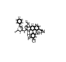 CCCC(CC(=O)Nc1cc2c(Nc3ccc(F)c(Cl)c3)c(C#N)cnc2cc1OCC)SCc1ccccc1